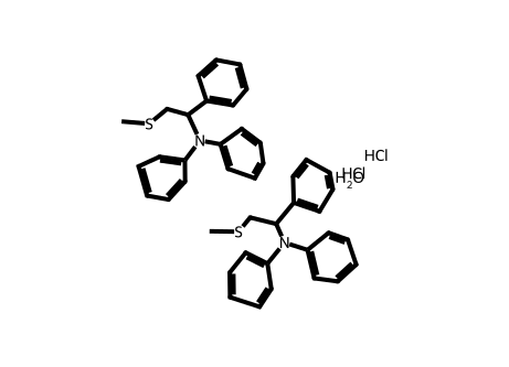 CSCC(c1ccccc1)N(c1ccccc1)c1ccccc1.CSCC(c1ccccc1)N(c1ccccc1)c1ccccc1.Cl.Cl.O